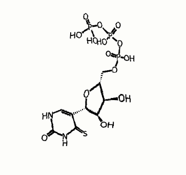 O=c1[nH]cc([C@@H]2O[C@H](COP(=O)(O)OP(=O)(O)OP(=O)(O)O)[C@@H](O)[C@H]2O)c(=S)[nH]1